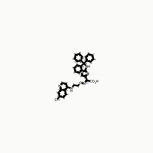 O=C(O)/C(=N/OCCNc1ccnc2cc(Cl)ccc12)c1csc(NC(c2ccccc2)(c2ccccc2)c2ccccc2)n1